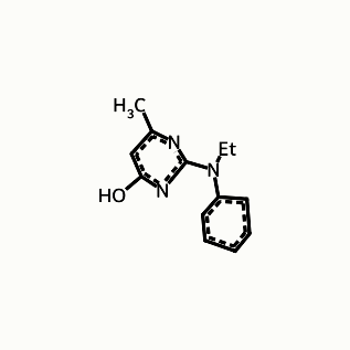 CCN(c1ccccc1)c1nc(C)cc(O)n1